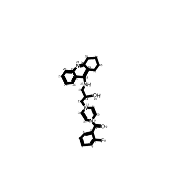 O=C(c1ccccc1F)N1C=CN(CC(O)CNc2c3c(nc4ccccc24)CCCC3)C=C1